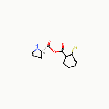 O=C(OC(=O)[C@@H]1CCCN1)C1CCCCC1S